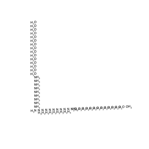 N.N.N.N.N.N.N.N.N.N.N.N.N.N.N.N.N.N.N.N.O.O.O.O.O.O.O.O.O.O.O.O.O.O.O.O.O.O.O.O.O.O.O.O.O.O.O.O.O.O